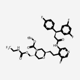 CC(C)(C)OC(=O)N1C[C@@H](CCc2c(F)cncc2NC(=O)C[C@@H](c2ccc(F)cc2)c2cc(F)cc(F)c2)OC[C@@H]1COC(=O)NCC(F)(F)F